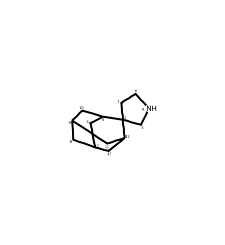 C1CC2(CN1)C1CC3CC(C1)CC2C3